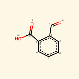 O=[C]c1ccccc1C(=O)O